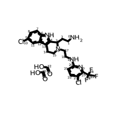 NCCC1c2[nH]c3ccc(Cl)cc3c2CCN1CCNc1ccc(Cl)c(C(F)(F)F)n1.O=CO.O=CO